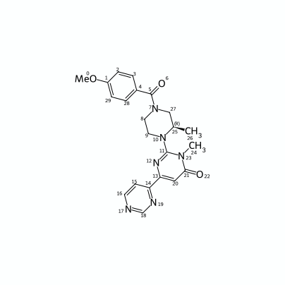 COc1ccc(C(=O)N2CCN(c3nc(-c4ccncn4)cc(=O)n3C)[C@H](C)C2)cc1